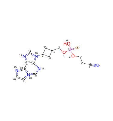 N#CCCOP(O)(=S)OCC1CC(n2cnc3c2ncn2ccnc32)C1